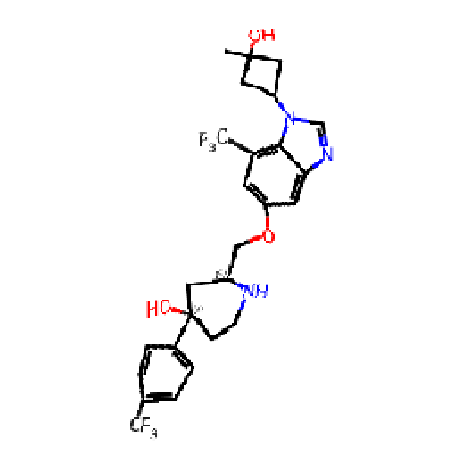 CC1(O)CC(n2cnc3cc(OC[C@@H]4C[C@@](O)(c5ccc(C(F)(F)F)cc5)CCN4)cc(C(F)(F)F)c32)C1